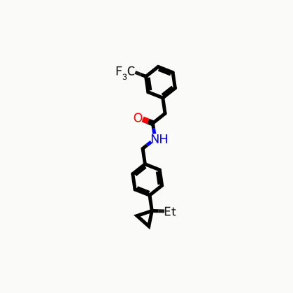 CCC1(c2ccc(CNC(=O)Cc3cccc(C(F)(F)F)c3)cc2)CC1